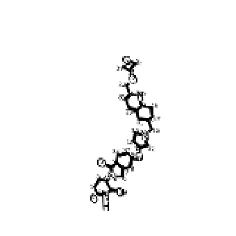 O=C1CCC(N2Cc3cc(O[C@H]4CCN(Cc5ccc6nc(COC7COC7)ccc6c5)C4)ccc3C2=O)C(=O)N1